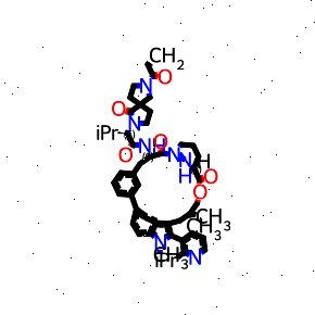 C=CC(=O)N1CCC2(CCN([C@H](C(=O)N[C@H]3Cc4cccc(c4)-c4ccc5c(c4)c(c(-c4cccnc4C(C)C)n5C)CC(C)(C)COC(=O)[C@@H]4CCCN(N4)C3=O)C(C)C)C2=O)C1